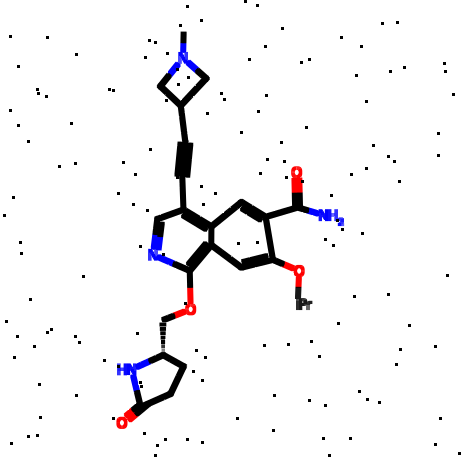 CC(C)Oc1cc2c(OC[C@@H]3CCC(=O)N3)ncc(C#CC3CN(C)C3)c2cc1C(N)=O